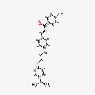 C=C(C)c1ccc(CCCCc2ccc(C=CC(=O)c3ccc(F)cc3)cc2)cc1